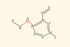 C=[C]c1cc(C)ccc1OCC